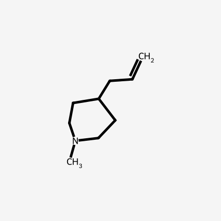 C=CCC1CCN(C)CC1